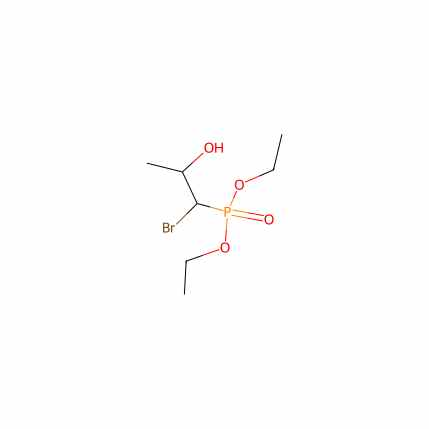 CCOP(=O)(OCC)C(Br)C(C)O